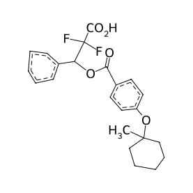 CC1(Oc2ccc(C(=O)OC(c3ccccc3)C(F)(F)C(=O)O)cc2)CCCCC1